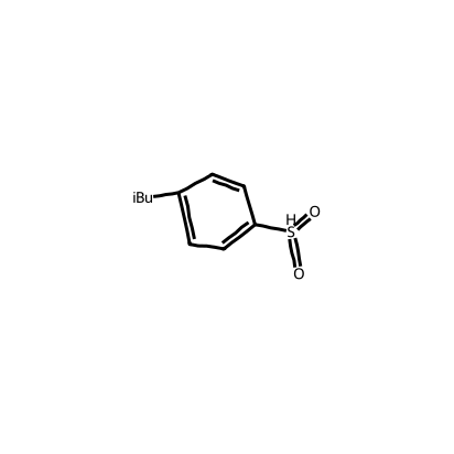 CCC(C)c1ccc([SH](=O)=O)cc1